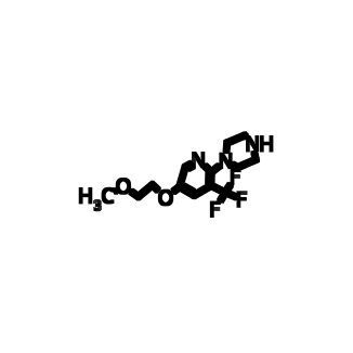 COCCOc1cnc(N2CCNCC2)c(C(F)(F)F)c1